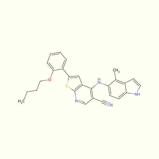 CCCCOc1ccccc1-c1cc2c(Nc3ccc4[nH]ccc4c3C)c(C#N)cnc2s1